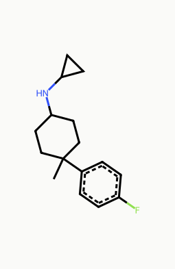 CC1(c2ccc(F)cc2)CCC(NC2CC2)CC1